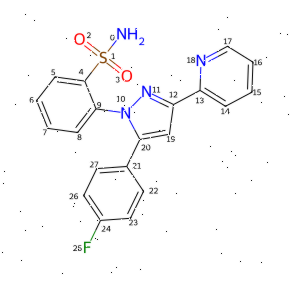 NS(=O)(=O)c1ccccc1-n1nc(-c2ccccn2)cc1-c1ccc(F)cc1